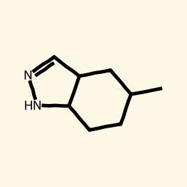 CC1CCC2NN=CC2C1